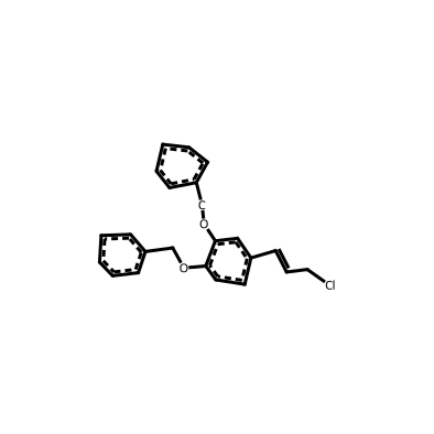 ClCC=Cc1ccc(OCc2ccccc2)c(OCc2ccccc2)c1